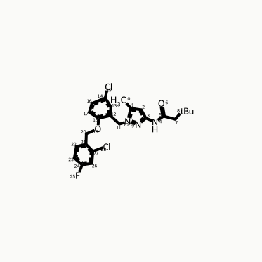 Cc1cc(NC(=O)CC(C)(C)C)nn1Cc1cc(Cl)ccc1OCc1ccc(F)cc1Cl